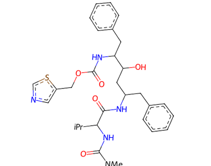 CNC(=O)NC(C(=O)NC(Cc1ccccc1)CC(O)C(Cc1ccccc1)NC(=O)OCc1cncs1)C(C)C